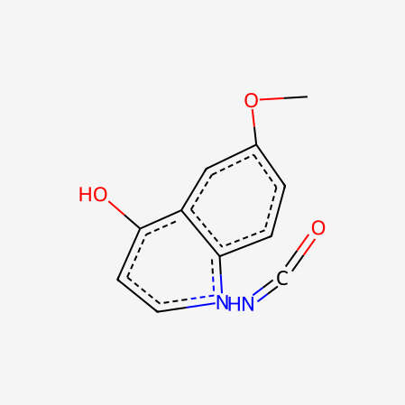 COc1ccc2nccc(O)c2c1.N=C=O